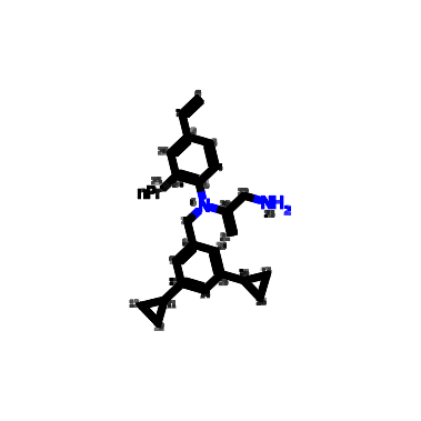 C=Cc1ccc(N(Cc2cc(C3CC3)cc(C3CC3)c2)C(=C)CN)c(CCC)c1